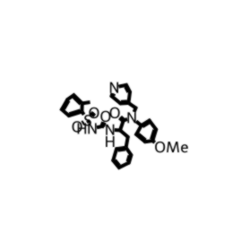 COc1ccc(N(Cc2ccncc2)C(=O)C(Cc2ccccc2)NC(=O)NS(=O)(=O)c2ccccc2C)cc1